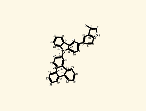 Cc1csc2ccc(-c3ccc4c(c3)c3ccccc3n4-c3ccc4c5ccccc5c5ccccc5c4c3)cc12